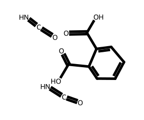 N=C=O.N=C=O.O=C(O)c1ccccc1C(=O)O